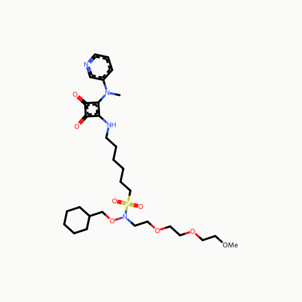 COCCOCCOCCN(OCC1CCCCC1)S(=O)(=O)CCCCCCNc1c(N(C)c2cccnc2)c(=O)c1=O